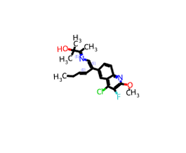 CC/C=C/C(=C\N=C(/C)C(C)(C)O)c1ccc2nc(OC)c(F)c(Cl)c2c1